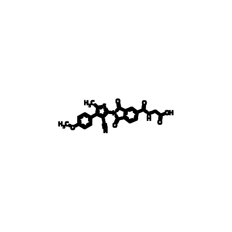 COc1ccc(-c2c(C)sc(N3C(=O)c4ccc(C(=O)NCC(=O)O)cc4C3=O)c2C#N)cc1